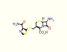 NC(=O)c1ncsc1SCC1=C(C(=O)O)N2C(=O)C(N)[C@@H]2SC1